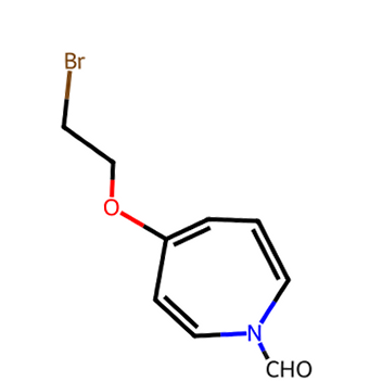 O=CN1C=CC=C(OCCBr)C=C1